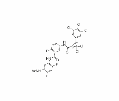 CC(=O)Nc1cc(NC(=O)c2cc(NC(=O)[C@H]3[C@H](c4cc(Cl)c(Cl)c(Cl)c4)C3(Cl)Cl)ccc2F)c(F)cc1F